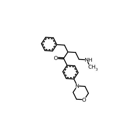 CNCCC(Cc1ccccc1)C(=O)c1ccc(N2CCOCC2)cc1